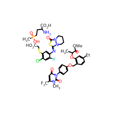 CCc1ccc(COc2ccc(-n3c(=O)cc(C(F)(F)F)n(C)c3=O)cc2)c(OC(C)C(=O)OC)c1.CP(=O)(O)CCC(N)C(=O)O.O=C(O)CSc1cc(N=c2sc(=O)n3n2CCCC3)c(F)cc1Cl